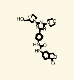 O=C(Nc1ccc(-c2nc(N3CCOCC3)nc(N3CCOC(CO)C3)n2)cc1)Nc1ccc2c(c1)COC2=O